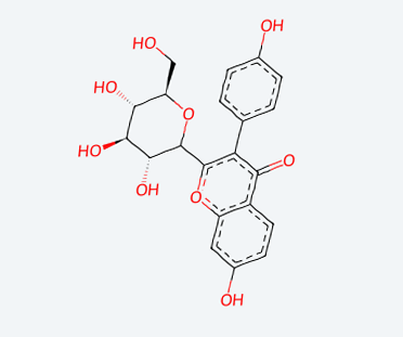 O=c1c(-c2ccc(O)cc2)c(C2O[C@H](CO)[C@@H](O)[C@H](O)[C@H]2O)oc2cc(O)ccc12